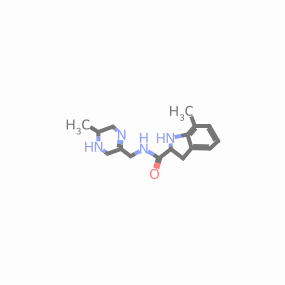 Cc1cccc2c1NC(C(=O)NCC1=NCC(C)NC1)C2